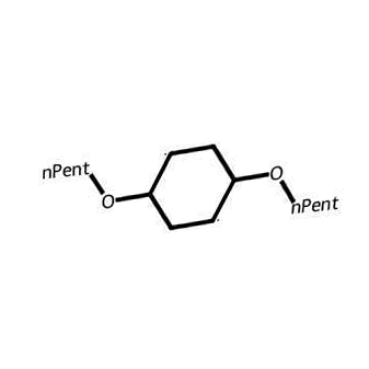 CCCCCOC1[CH]CC(OCCCCC)[CH]C1